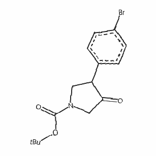 CC(C)(C)OC(=O)N1CC(=O)C(c2ccc(Br)cc2)C1